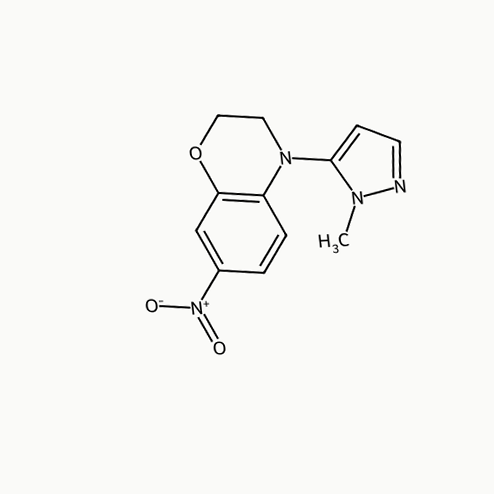 Cn1nccc1N1CCOc2cc([N+](=O)[O-])ccc21